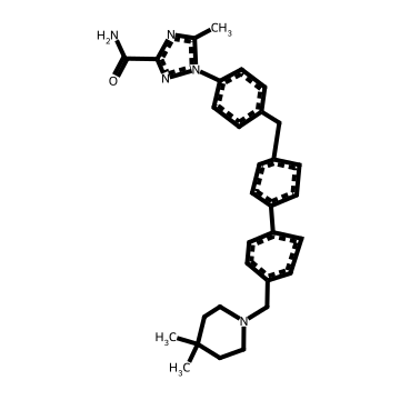 Cc1nc(C(N)=O)nn1-c1ccc(Cc2ccc(-c3ccc(CN4CCC(C)(C)CC4)cc3)cc2)cc1